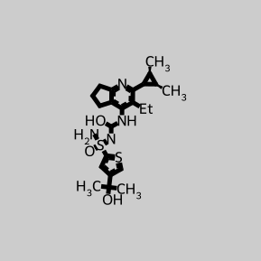 CCc1c(C2[C@@H](C)[C@H]2C)nc2c(c1NC(O)N=S(N)(=O)c1cc(C(C)(C)O)cs1)CCC2